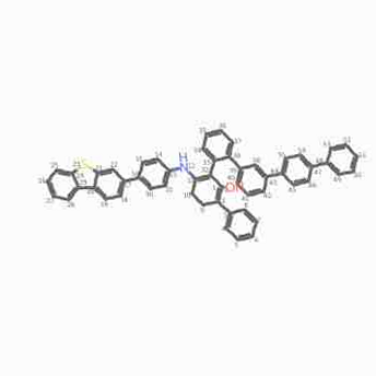 OC1=C(c2ccccc2)CCC(Nc2ccc(-c3ccc4c(c3)sc3ccccc34)cc2)=C1c1ccccc1-c1cccc(-c2ccc(-c3ccccc3)cc2)c1